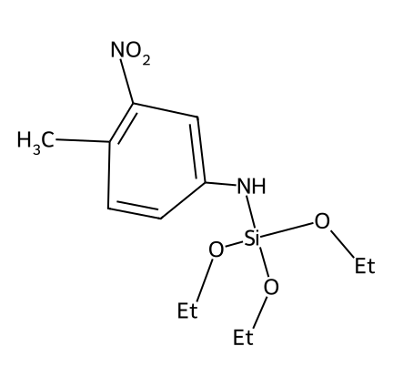 CCO[Si](Nc1ccc(C)c([N+](=O)[O-])c1)(OCC)OCC